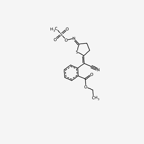 CCOC(=O)c1ccccc1/C(C#N)=C1/CC/C(=N/OS(C)(=O)=O)S1